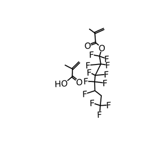 C=C(C)C(=O)O.C=C(C)C(=O)OC(F)(F)C(F)(F)C(F)(F)C(F)(F)C(F)CC(F)(F)F